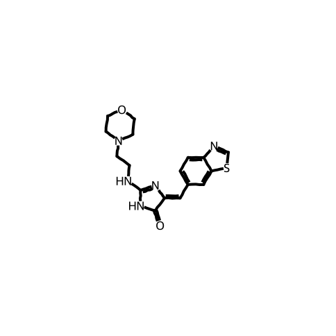 O=C1NC(NCCN2CCOCC2)=N/C1=C\c1ccc2ncsc2c1